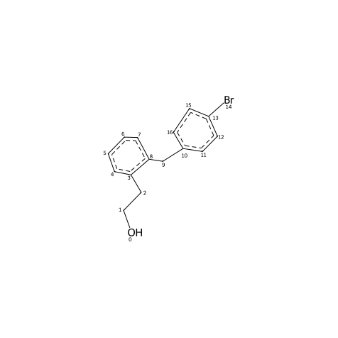 OCCc1ccccc1Cc1ccc(Br)cc1